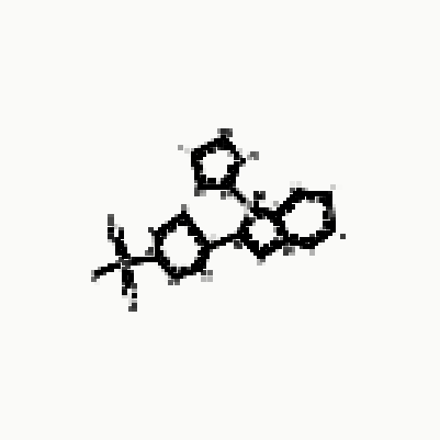 CS(=O)(=O)c1ccc(-c2cc3ccccc3n2-c2cccs2)cc1